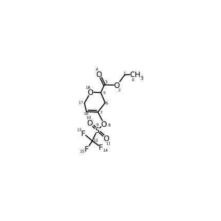 CCOC(=O)C1CC(OS(=O)(=O)C(F)(F)F)=CCO1